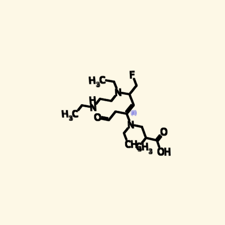 CCNCCN(CC)C(/C=C(\CC=O)N(CC)CC(C)C(=O)O)CF